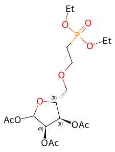 CCOP(=O)(CCOC[C@H]1OC(OC(C)=O)[C@H](OC(C)=O)[C@@H]1OC(C)=O)OCC